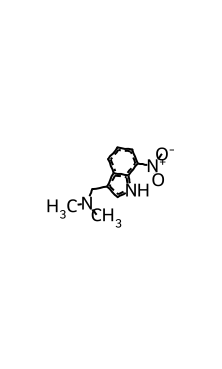 CN(C)Cc1c[nH]c2c([N+](=O)[O-])cccc12